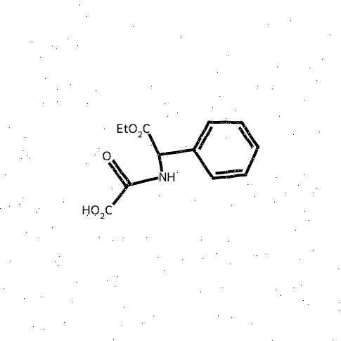 CCOC(=O)C(NC(=O)C(=O)O)c1ccccc1